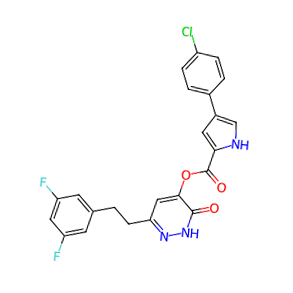 O=C(Oc1cc(CCc2cc(F)cc(F)c2)n[nH]c1=O)c1cc(-c2ccc(Cl)cc2)c[nH]1